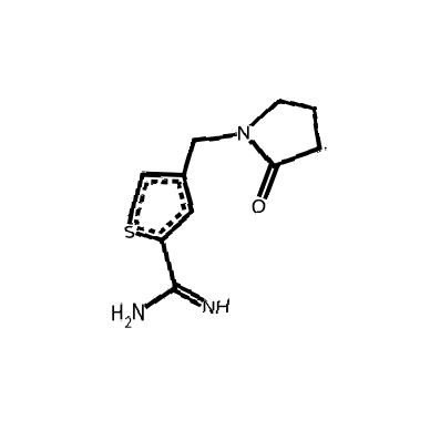 N=C(N)c1cc(CN2CC[CH]C2=O)cs1